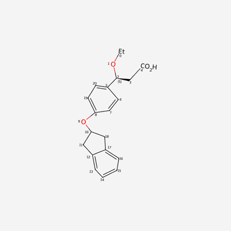 CCO[C@@H](CC(=O)O)c1ccc(OC2Cc3ccccc3C2)cc1